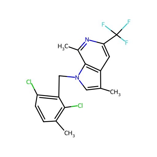 Cc1ccc(Cl)c(Cn2cc(C)c3cc(C(F)(F)F)nc(C)c32)c1Cl